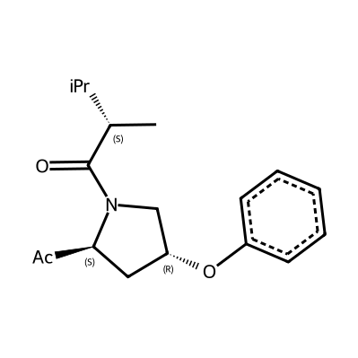 CC(=O)[C@@H]1C[C@@H](Oc2ccccc2)CN1C(=O)[C@@H](C)C(C)C